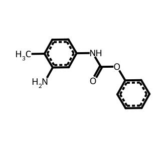 Cc1ccc(NC(=O)Oc2ccccc2)cc1N